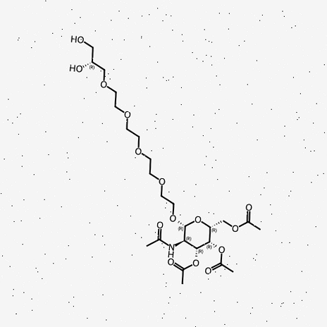 CC(=O)N[C@H]1[C@H](OCCOCCOCCOCCOC[C@H](O)CO)O[C@H](COC(C)=O)[C@H](OC(C)=O)[C@@H]1OC(C)=O